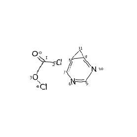 O=C(Cl)OCl.c1ncc2c(n1)C2